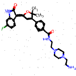 CC1(C)OC(=C2C(=O)Nc3cc(F)ccc32)C=C1c1ccc(C(=O)NCCN2CCN(CCN)CC2)cc1